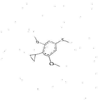 COc1cc(SC)cc(OC)c1C1CC1